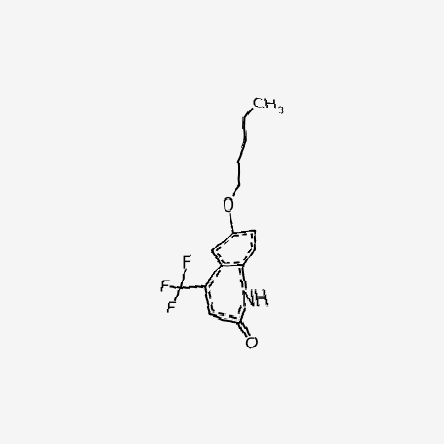 CCCCCOc1ccc2[nH]c(=O)cc(C(F)(F)F)c2c1